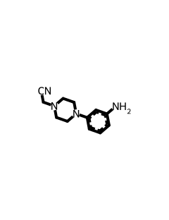 N#CCN1CCN(c2cccc(N)c2)CC1